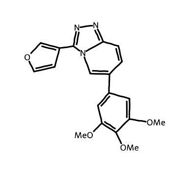 COc1cc(-c2ccc3nnc(-c4ccoc4)n3c2)cc(OC)c1OC